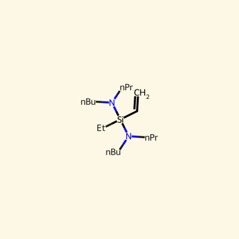 C=C[Si](CC)(N(CCC)CCCC)N(CCC)CCCC